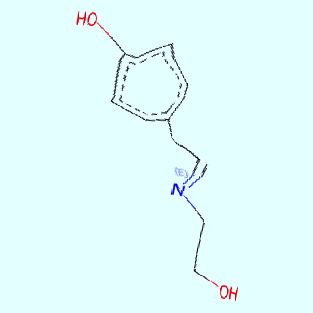 OCC/N=C/c1ccc(O)cc1